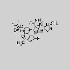 Cc1nccc(Nc2[nH]nc(-c3ccc(NS(=O)(=O)C(F)F)c(O[C@@H](C)c4ccc(F)cc4)c3)c2C(N)=O)n1